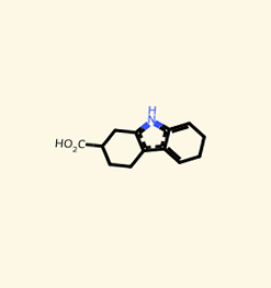 O=C(O)C1CCc2c([nH]c3c2=CCCC=3)C1